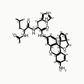 CC(=O)N[C@@H](CC(C)C)C(=O)N[C@@H](Cc1cnc[nH]1)C(=O)Nc1ccc2c(c1)Oc1cc(N)ccc1C21OCc2ccccc21